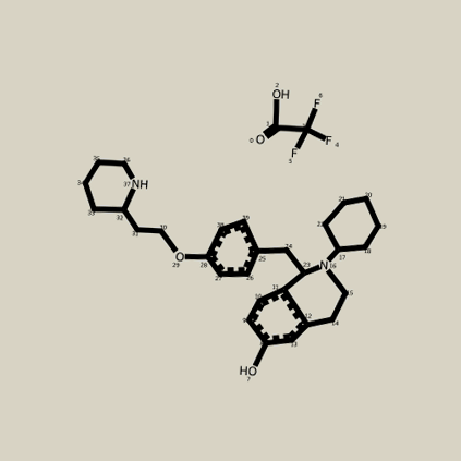 O=C(O)C(F)(F)F.Oc1ccc2c(c1)CCN(C1CCCCC1)C2Cc1ccc(OCCC2CCCCN2)cc1